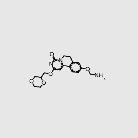 NCOc1ccc2c(c1)CCn1c-2cc(OCC2COCCO2)nc1=O